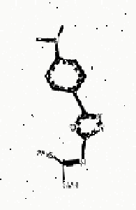 CSC(=Nc1nnc(-c2ccc(N(C)C)cc2)o1)SC